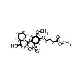 COC(=O)CCCOc1cc([N+](=O)[O-])c(C(=O)N2CCCCC2C(=O)O)cc1OC